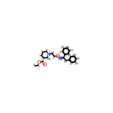 CCOC(=O)[C@@H]1CCCN(CCON=C(Cc2ccccc2)c2ccccc2)C1